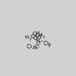 CC(C)(C)OC(=O)N1CC2(CCN(Cc3ccccc3)C2)CC1Cc1ccc(F)cc1